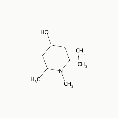 CC.CC1CC(O)CCN1C